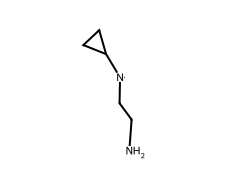 NCC[N]C1CC1